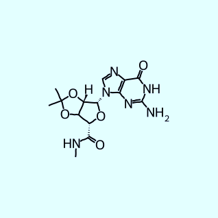 CNC(=O)[C@H]1O[C@@H](n2cnc3c(=O)[nH]c(N)nc32)[C@H]2OC(C)(C)OC12